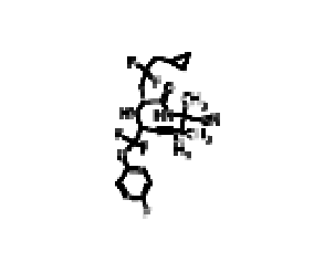 CC#CC(N[C@@H](CC(F)(F)CC1CC1)C(=O)NC(C)(C)C#N)C(F)(F)Oc1ccc(F)cc1